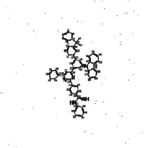 CC1(C)c2ccccc2-c2ccc(-c3cc(-c4cc(-c5ccccc5)nc(-c5ccc(C(=N)Nc6ccccc6)cc5)n4)cc(-n4c5ccccc5c5ccccc54)c3)cc21